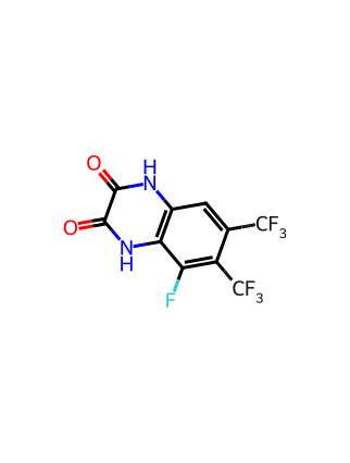 O=c1[nH]c2cc(C(F)(F)F)c(C(F)(F)F)c(F)c2[nH]c1=O